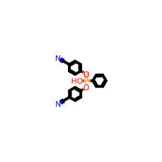 N#Cc1ccc(O[PH](O)(Oc2ccc(C#N)cc2)c2ccccc2)cc1